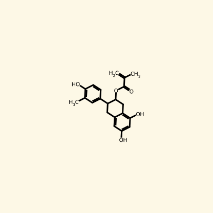 C=C(C)C(=O)OC1Cc2c(O)cc(O)cc2CC1c1ccc(O)c(C)c1